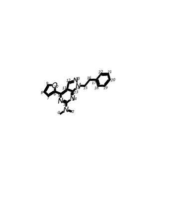 CN(C)c1nc(-c2ccco2)c2cnn(CCc3ccccc3)c2n1